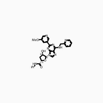 COc1cncc(-c2nc(NCc3ccccn3)c3ncn([C@@H]4O[C@H](C(=O)NC(C)C)C[C@H]4O)c3n2)c1